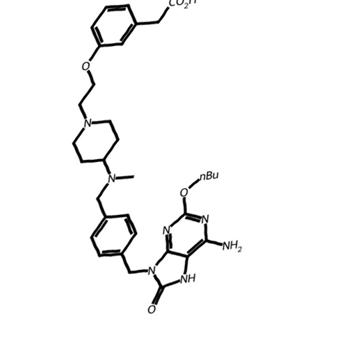 CCCCOc1nc(N)c2[nH]c(=O)n(Cc3ccc(CN(C)C4CCN(CCOc5cccc(CC(=O)O)c5)CC4)cc3)c2n1